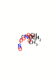 C=C(/C=C(/OC)C(=C)CN1C(=O)C=C(/C=C\C=C\OCCCN2CCOCC2)C1=O)OC